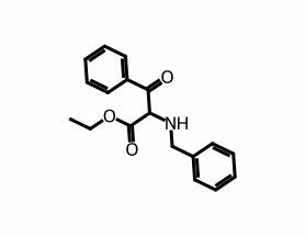 CCOC(=O)C(NCc1ccccc1)C(=O)c1ccccc1